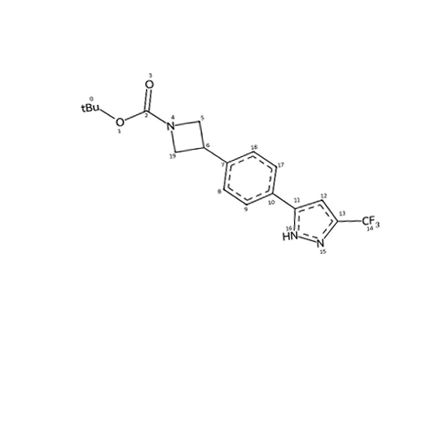 CC(C)(C)OC(=O)N1CC(c2ccc(-c3cc(C(F)(F)F)n[nH]3)cc2)C1